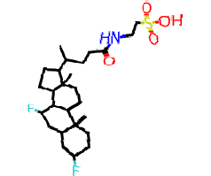 CC(CCC(=O)NCCS(=O)(=O)O)C1CCC2C3C(F)CC4CC(F)CCC4(C)C3CCC12C